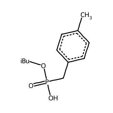 CCC(C)OP(=O)(O)Cc1ccc(C)cc1